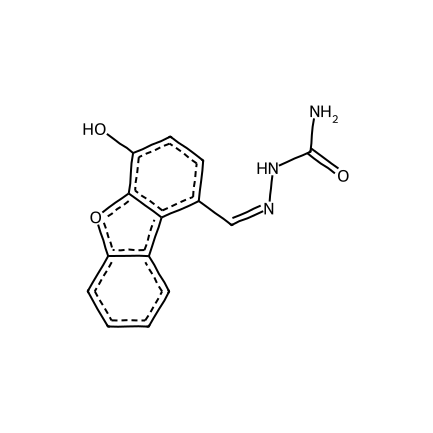 NC(=O)N/N=C\c1ccc(O)c2oc3ccccc3c12